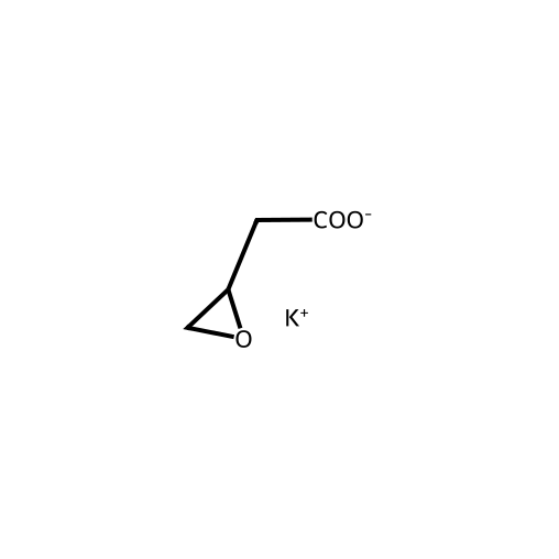 O=C([O-])CC1CO1.[K+]